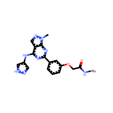 Cn1ncc2c(Nc3cn[nH]c3)nc(-c3cccc(OCC(=O)NC(C)(C)C)c3)nc21